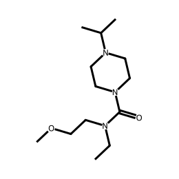 CCN(CCOC)C(=O)N1CCN(C(C)C)CC1